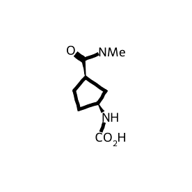 CNC(=O)[C@@H]1CC[C@H](NC(=O)O)C1